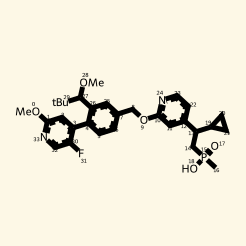 COc1cc(-c2ccc(COc3cc(C(CP(C)(=O)O)C4CC4)ccn3)cc2C(OC)C(C)(C)C)c(F)cn1